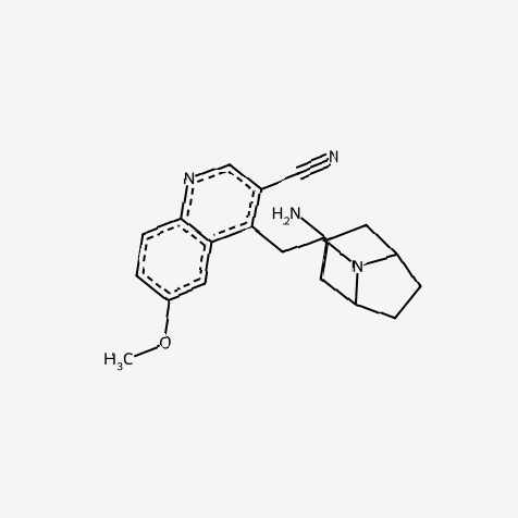 COc1ccc2ncc(C#N)c(CCN3C4CCC3CC(N)C4)c2c1